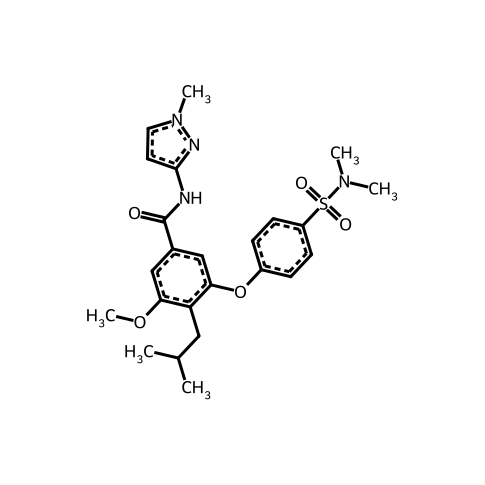 COc1cc(C(=O)Nc2ccn(C)n2)cc(Oc2ccc(S(=O)(=O)N(C)C)cc2)c1CC(C)C